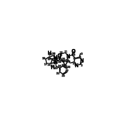 Cc1ncnc(C)c1C(=O)N1CCC(N2C[C@H]3CC[C@@H](C2)[C@H]3N(Cc2ccccc2)C(=O)C2CC2)CC1